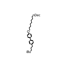 CCCCCCCCCCCCCCCCCCOc1ccc(-c2ccc(CCCC(C)CC)cc2)cc1